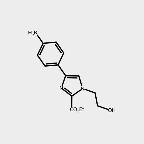 Bc1ccc(-c2cn(CCO)c(C(=O)OCC)n2)cc1